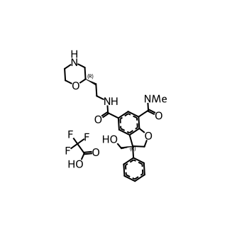 CNC(=O)c1cc(C(=O)NCC[C@@H]2CNCCO2)cc2c1OC[C@]2(CO)c1ccccc1.O=C(O)C(F)(F)F